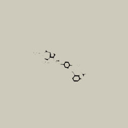 COC(=O)c1scc(NC(=O)Nc2cc(OCc3cccc4oc(C)nc34)c(OC)cc2F)c1C(=O)OC